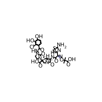 CC(C)(O/N=C(\C(=O)N[C@@H]1C(=O)N2C[C@@](C(=O)O)(N3CCN(NC(=O)c4ccc(O)c(O)c4Cl)C3=O)S[C@H]12)c1nsc(N)n1)C(=O)O